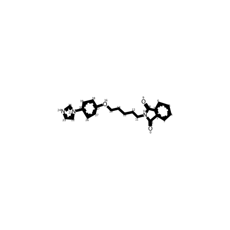 O=C1c2ccccc2C(=O)N1CCCCCOc1ccc(-n2ccnc2)cc1